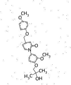 COc1ccc(OCc2ccn(-c3ccc(OCC(C)(C)O)c(OC)c3)c(=O)c2)cc1